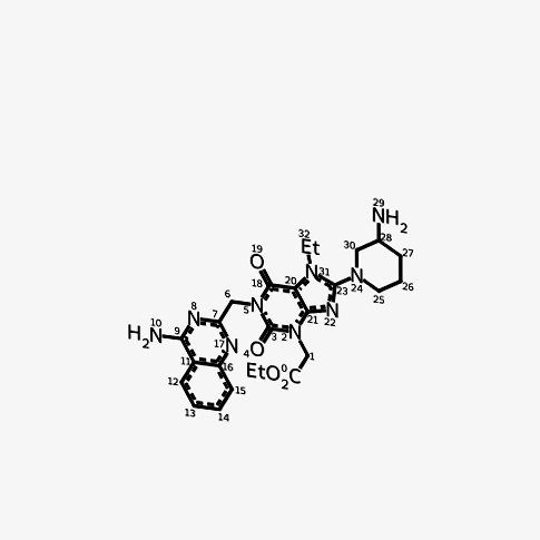 CCOC(=O)Cn1c(=O)n(Cc2nc(N)c3ccccc3n2)c(=O)c2c1nc(N1CCCC(N)C1)n2CC